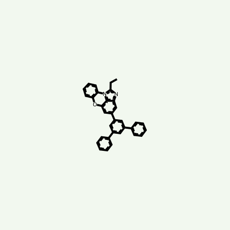 CCc1nc2cc(-c3cc(-c4ccccc4)cc(-c4ccccc4)c3)cc3c2n1-c1ccccc1O3